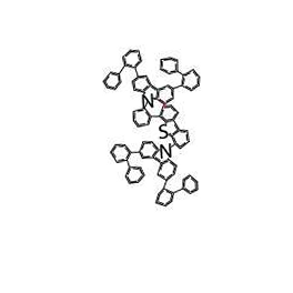 c1ccc(-c2ccccc2-c2ccc3c(c2)c2cc(-c4ccccc4-c4ccccc4)ccc2n3-c2ccccc2-c2cccc3c2sc2c(-n4c5ccc(-c6ccccc6-c6ccccc6)cc5c5cc(-c6ccccc6-c6ccccc6)ccc54)cccc23)cc1